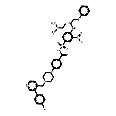 CN(C)CC[C@H](CSc1ccccc1)Nc1ccc(S(=O)(=O)NC(=O)c2ccc(N3CCN(Cc4ccncc4-c4ccc(Cl)cc4)CC3)cc2)cc1[N+](=O)[O-]